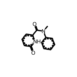 CN(C(=O)c1cccc(=O)[nH]1)c1ccccc1